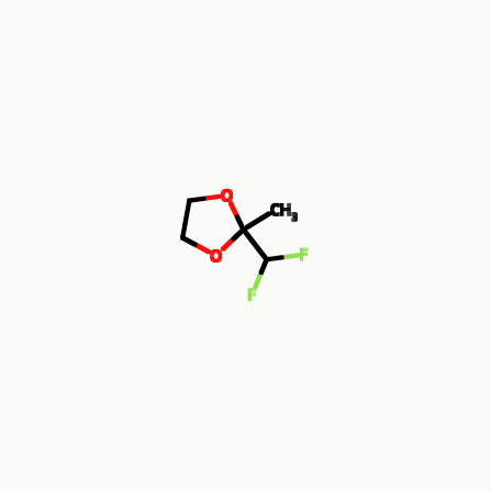 CC1(C(F)F)OCCO1